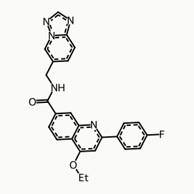 CCOc1cc(-c2ccc(F)cc2)nc2cc(C(=O)NCc3ccc4ncnn4c3)ccc12